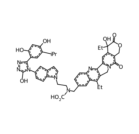 CCc1c2c(nc3ccc(CN(CCn4ccc5cc(-n6c(O)nnc6-c6cc(C(C)C)c(O)cc6O)ccc54)C(=O)O)cc13)-c1cc3c(c(=O)n1C2)COC(=O)C3(O)CC